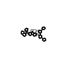 CC1(C)c2cc(N(c3ccccc3)c3cccc4ccccc34)ccc2-c2ccc(N3C4C=CC(c5ccccc5)=CC4C4C=C(c5ccccc5)C=CC43)cc21